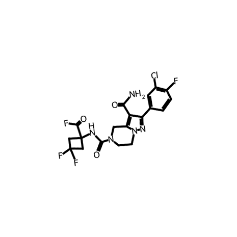 NC(=O)c1c(-c2ccc(F)c(Cl)c2)nn2c1CN(C(=O)NC1(C(=O)F)CC(F)(F)C1)CC2